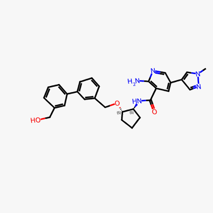 Cn1cc(-c2cnc(N)c(C(=O)N[C@H]3CCC[C@@H]3OCc3cccc(-c4cccc(CO)c4)c3)c2)cn1